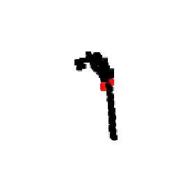 C=C(CC[C@@H](C)[C@H]1CC[C@@]2(C)[C@@H]3CC[C@H]4C(C)(C)[C@@H](OC(=O)CCCCCCCCCCCCCCC)CC[C@@]45C[C@@]35CC[C@]12C)C(C)C